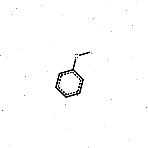 [C]Oc1ccccc1